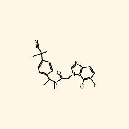 CC(NC(=O)Cn1cnc2ccc(F)c(Cl)c21)c1ccc(C(C)(C)C#N)cc1